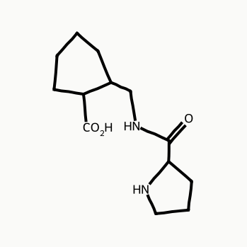 O=C(NCC1CCCCC1C(=O)O)C1CCCN1